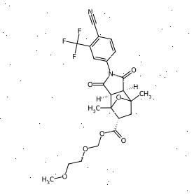 COCCOCOC(=O)[C@H]1CC2(C)OC1(C)[C@H]1C(=O)N(c3ccc(C#N)c(C(F)(F)F)c3)C(=O)[C@H]12